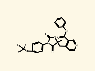 CC1(Cc2ccncc2C(=O)Nc2ccccc2)NC(=O)N(c2ccc(OC(F)(F)F)cc2)C1=O